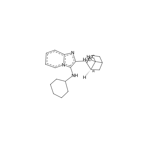 CC1(C)C2CC=C(c3nc4ccccn4c3NC3CCCCC3)[C@@H]1C2